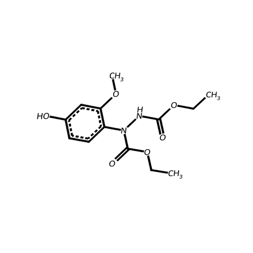 CCOC(=O)NN(C(=O)OCC)c1ccc(O)cc1OC